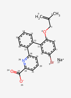 C=C(C)COc1ccc(Br)cc1-c1ccccc1-c1cccc(C(=O)[O-])n1.[Na+]